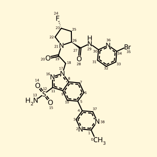 Cc1ncc(-c2ccc3c(c2)c(S(N)(=O)=O)nn3CC(=O)N2C[C@H](F)C[C@H]2C(=O)Nc2cccc(Br)n2)cn1